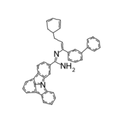 N/C(=N\C(=C/CC1C=CC=CC1)c1cccc(-c2ccccc2)c1)c1ccc2c3cccc4c5ccccc5n(c2c1)c43